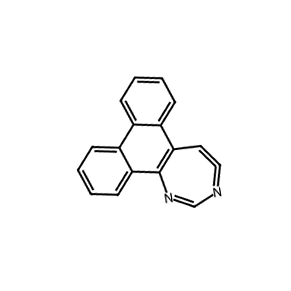 C1=Cc2c(c3ccccc3c3ccccc23)N=CN=1